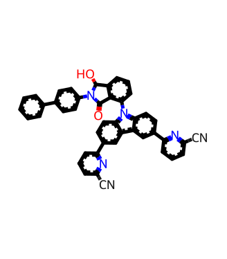 N#Cc1cccc(-c2ccc3c(c2)c2cc(-c4cccc(C#N)n4)ccc2n3-c2cccc3c2C(=O)N(c2ccc(-c4ccccc4)cc2)C3O)n1